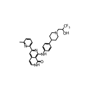 Cc1cccc(-c2cc3cc[nH]c(=O)c3c(Nc3ccc(C4CCN(CC(O)C(F)(F)F)CC4)cc3)n2)n1